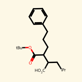 CC(C)CC(C(=O)O)C(CCCc1ccccc1)C(=O)OC(C)(C)C